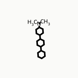 CN(C)C1CCC(C2CCC(C3CCCCC3)CC2)CC1